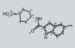 Cc1ccc2[nH]c(C(=O)N[C@H]3CC[C@H](C(=O)O)CC3)cc2c1